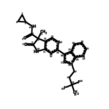 CC1(C(=O)NC2CC2)C(=O)Nc2nc(-c3nn(CCC(F)(F)C(F)(F)F)c4ncccc34)ncc21